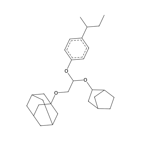 CCC(C)c1ccc(OC(COC23CC4CC(CC(C4)C2)C3)OC2CC3CCC2C3)cc1